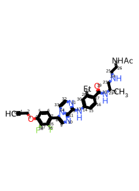 C#CCOc1ccc(-c2cnc3c(Nc4ccc(C(=O)N[C@@H](C)CNCCNC(C)=O)c(CC)c4)nccn23)c(F)c1F